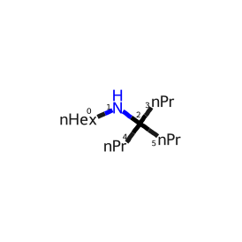 CCCCCCNC(CCC)(CCC)CCC